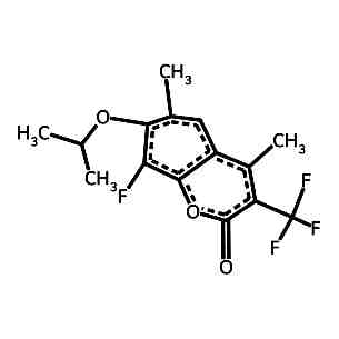 Cc1cc2c(C)c(C(F)(F)F)c(=O)oc2c(F)c1OC(C)C